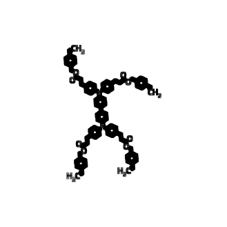 C=Cc1ccc(COC(=O)CCc2ccc(N(c3ccc(CCC(=O)OCc4ccc(C=C)cc4)cc3)c3ccc(-c4ccc(N(c5ccc(CCC(=O)OCc6ccc(C=C)cc6)cc5)c5ccc(CCC(=O)OCc6ccc(C=C)cc6)cc5)cc4)cc3)cc2)cc1